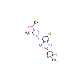 Cc1ncc(C(=O)Nc2cc(Cl)cc(CN3CCN(C(=O)C4CC4)[C@@H](C)C3)c2C)cc1Cl